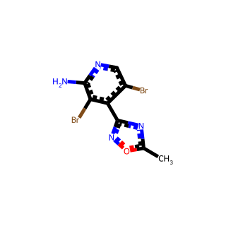 Cc1nc(-c2c(Br)cnc(N)c2Br)no1